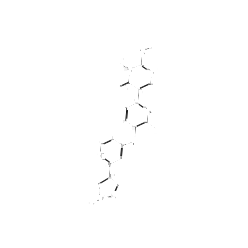 CCNc1ncc(-c2ccc(Oc3ccnc(-c4cnn(C)c4)c3)c(C)n2)c(=O)n1C